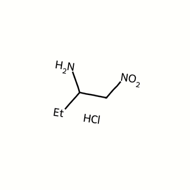 CCC(N)C[N+](=O)[O-].Cl